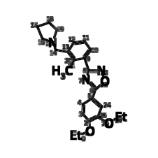 CCOc1ccc(-c2nc(-c3cccc(CN4CCCC4)c3C)no2)cc1OCC